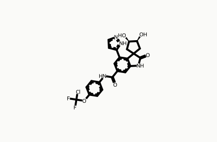 O=C(Nc1ccc(OC(F)(F)Cl)cc1)c1cc2c(c(-c3ccn[nH]3)c1)C1(C[C@@H](O)[C@@H](O)C1)C(=O)N2